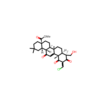 COC(=O)[C@]12CCC(C)(C)C[C@H]1[C@H]1C(=O)C=C3[C@@]4(C)C(=O)/C(=C\Cl)C(=O)[C@](C)(CO)[C@@H]4CC[C@@]3(C)[C@]1(C)CC2